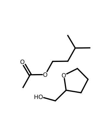 CC(=O)OCCC(C)C.OCC1CCCO1